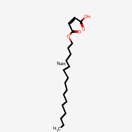 CCCCCCCCCCCCCCCCOC(=O)/C=C\C(=O)O.[NaH]